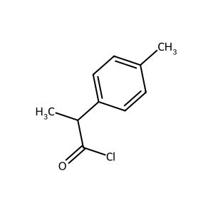 Cc1ccc(C(C)C(=O)Cl)cc1